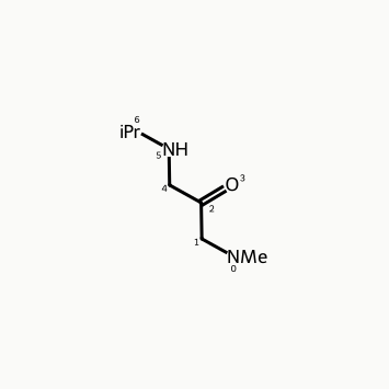 CNCC(=O)CNC(C)C